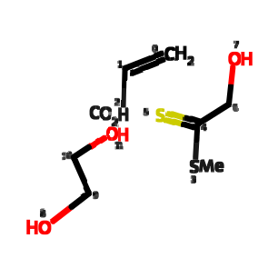 C=CC(=O)O.CSC(=S)CO.OCCO